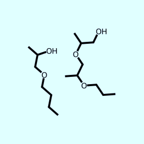 CCCCOCC(C)O.CCCOC(C)COC(C)CO